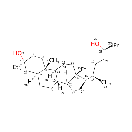 CC[C@]1(O)CC[C@@]2(C)[C@@H](CC[C@@H]3[C@@H]2CC[C@]2(CC)[C@@H]([C@H](C)CC[C@@H](O)C(C)C)CC[C@@H]32)C1